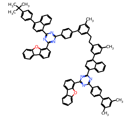 Cc1cc(C)cc(-c2ccc(-c3nc(-c4ccc(-c5cc(C)cc(CCc6cc(C)cc(-c7ccc(-c8nc(-c9ccc(-c%10ccc(C(C)(C)C)cc%10)c%10ccccc9%10)nc(-c9cccc%10c9oc9ccccc9%10)n8)cc7)c6)c5)c5ccccc45)nc(-c4cccc5c4oc4ccccc45)n3)cc2)c1